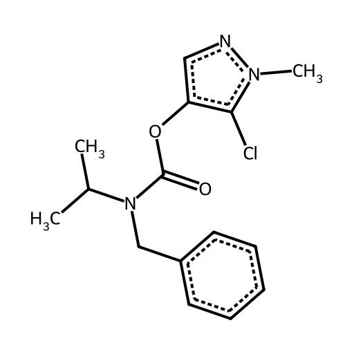 CC(C)N(Cc1ccccc1)C(=O)Oc1cnn(C)c1Cl